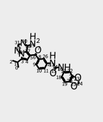 CC(C)c1cc(C(=O)c2cccc(NC(=O)Nc3ccc4c(c3)OCO4)c2)c2c(N)ncnn12